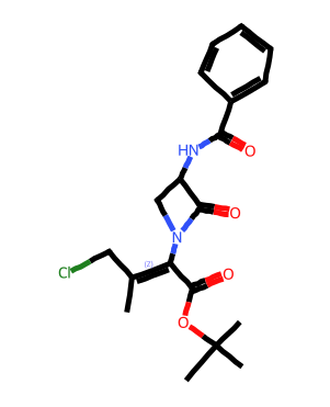 C/C(CCl)=C(\C(=O)OC(C)(C)C)N1CC(NC(=O)c2ccccc2)C1=O